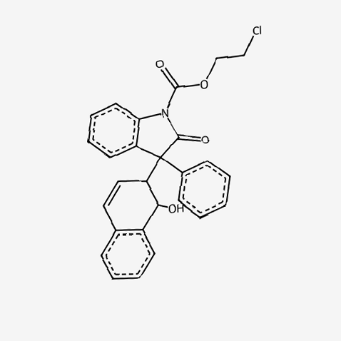 O=C(OCCCl)N1C(=O)C(c2ccccc2)(C2C=Cc3ccccc3C2O)c2ccccc21